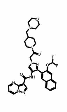 O=C(Nc1cn(CC(=O)N2CCC(CN3CCOCC3)CC2)nc1-c1cc2ccccc2cc1OC(F)F)c1cnn2cccnc12